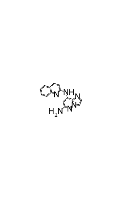 Nc1cc(Nc2ccc3ccccc3n2)c2nccn2n1